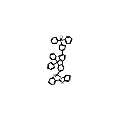 O=P(c1ccccc1)(c1ccccc1)c1ccc(-c2ccc3c(c2)C(c2ccccc2)(c2ccccc2)c2cc(-c4nc5ccccc5c5nc6ccccc6n45)ccc2-3)cc1